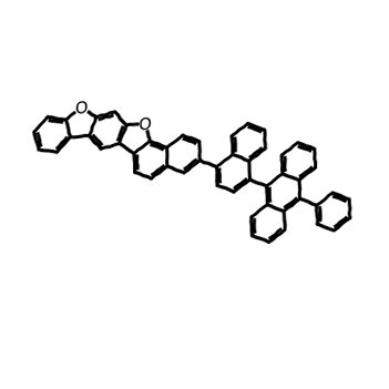 c1ccc(-c2c3ccccc3c(-c3ccc(-c4ccc5c(ccc6c7cc8c(cc7oc56)oc5ccccc58)c4)c4ccccc34)c3ccccc23)cc1